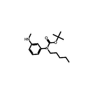 CCCCCN(C(=O)OC(C)(C)C)c1cccc(NC)c1